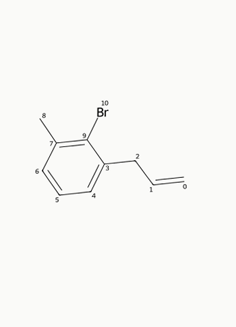 C=CCc1cccc(C)c1Br